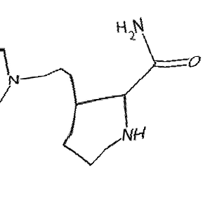 CN(C)CC1CCNC1C(N)=O